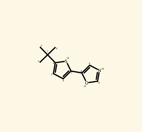 CC(C)(C)c1ccc(-c2cnco2)s1